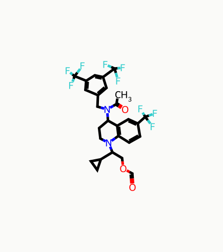 CC(=O)N(Cc1cc(C(F)(F)F)cc(C(F)(F)F)c1)C1CCN(C(COC=O)C2CC2)c2ccc(C(F)(F)F)cc21